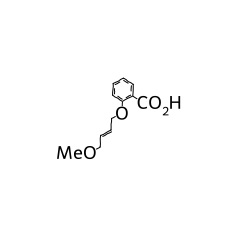 COCC=CCOc1ccccc1C(=O)O